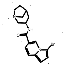 O=C(N[C@@H]1CC2CCN(C2)C1)c1ccc2ccc(Br)n2c1